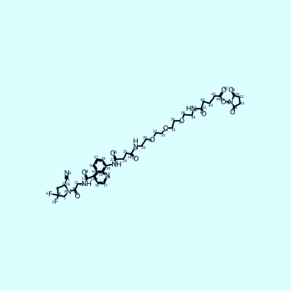 N#C[C@@H]1CC(F)(F)CN1C(=O)CNC(=O)c1ccnc2c(NC(=O)CCC(=O)NCCOCCOCCOCCNC(=O)CCCC(=O)ON3C(=O)CCC3=O)cccc12